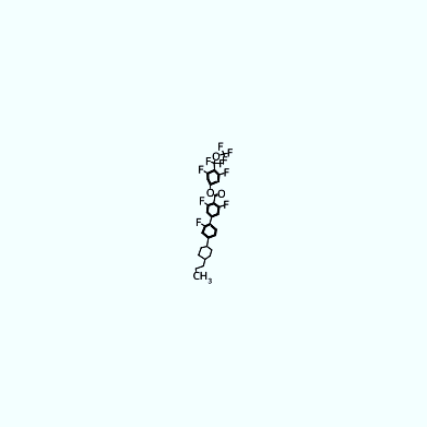 CCCC1CCC(c2ccc(-c3cc(F)c(C(=O)Oc4cc(F)c(C(F)(F)OC(F)(F)F)c(F)c4)c(F)c3)c(F)c2)CC1